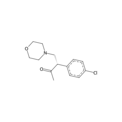 CC(=O)[C@H](CN1CCOCC1)c1ccc(Cl)cc1